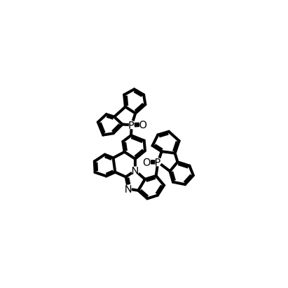 O=P1(c2ccc3c(c2)c2ccccc2c2nc4cccc(P5(=O)c6ccccc6-c6ccccc65)c4n32)c2ccccc2-c2ccccc21